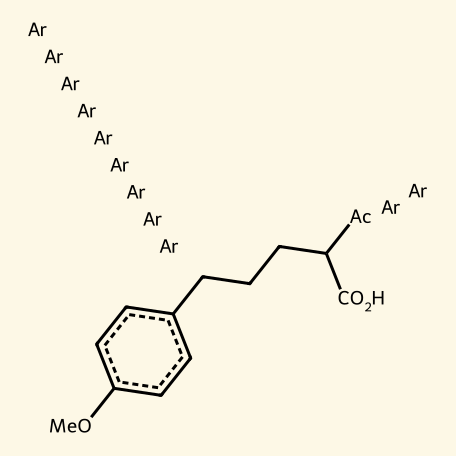 COc1ccc(CCCC(C(C)=O)C(=O)O)cc1.[Ar].[Ar].[Ar].[Ar].[Ar].[Ar].[Ar].[Ar].[Ar].[Ar].[Ar]